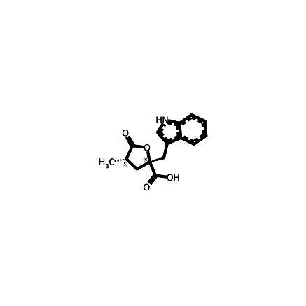 C[C@H]1C[C@@](Cc2c[nH]c3ccccc23)(C(=O)O)OC1=O